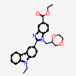 CCOC(=O)c1ccc2c(c1)nc(-c1ccc3c(c1)c1ccccc1n3CC)n2CC1COCCO1